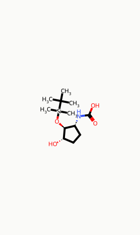 CC(C)(C)[Si](C)(C)O[C@@H]1[C@@H](O)CC[C@H]1NC(=O)O